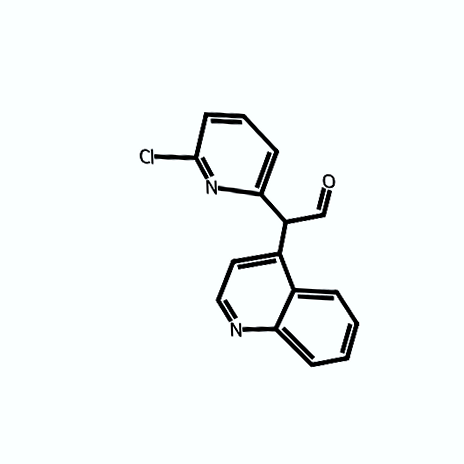 O=CC(c1cccc(Cl)n1)c1ccnc2ccccc12